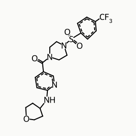 O=C(c1ccc(NC2CCOCC2)nc1)N1CCN(S(=O)(=O)c2ccc(C(F)(F)F)cc2)CC1